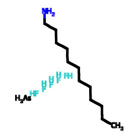 CCCCCCCCCCCCN.F.F.F.F.F.[AsH3]